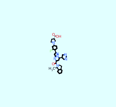 C[C@@H]1c2ccccc2CCN1C(=O)c1cc(-c2cncnc2)n2nc(-c3ccc(N4CC[C@H](C(=O)O)C4)cc3F)cc2n1